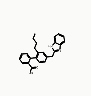 CCCCc1cc(Cc2nc3ccccc3[nH]2)ccc1-c1ccccc1C(=O)O